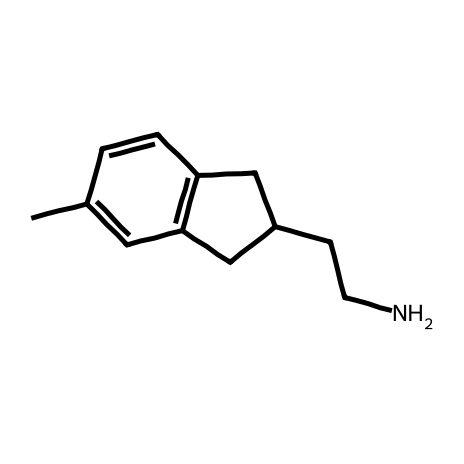 Cc1ccc2c(c1)CC(CCN)C2